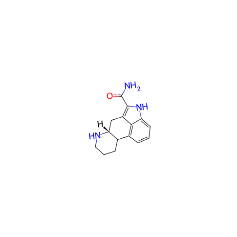 NC(=O)c1[nH]c2cccc3c2c1C[C@H]1NCCCC31